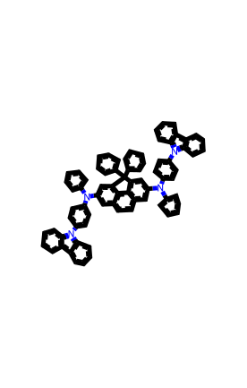 c1ccc(N(c2ccc(-n3c4ccccc4c4ccccc43)cc2)c2cc3c4c(ccc5cc(N(c6ccccc6)c6ccc(-n7c8ccccc8c8ccccc87)cc6)cc(c54)C3(c3ccccc3)c3ccccc3)c2)cc1